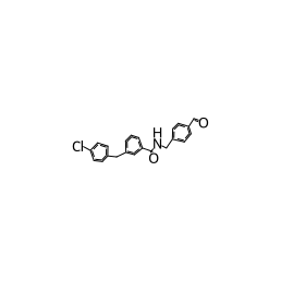 O=Cc1ccc(CNC(=O)c2cccc(Cc3ccc(Cl)cc3)c2)cc1